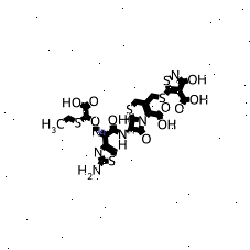 CCSC(O/N=C(\C(=O)N[C@@H]1C(=O)N2C(C(=O)O)=C(CSc3snc(O)c3C(=O)O)CS[C@H]12)c1csc(N)n1)C(=O)O